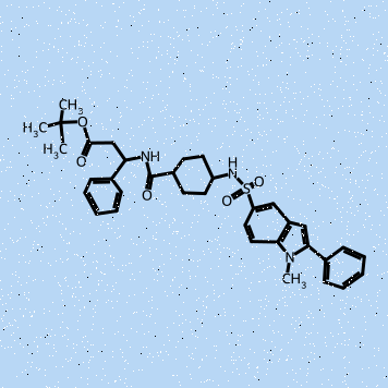 Cn1c(-c2ccccc2)cc2cc(S(=O)(=O)NC3CCC(C(=O)NC(CC(=O)OC(C)(C)C)c4ccccc4)CC3)ccc21